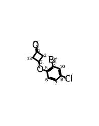 O=C1CC(Oc2ccc(Cl)cc2Br)C1